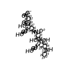 COc1cc(N=Nc2c(SOOO)cc3cc(Nc4ccccc4)ccc3c2O)c(O)cc1N=Nc1ccc(C=Cc2ccc([N+](=O)[O-])cc2S(=O)(=O)O)c(SOOO)c1